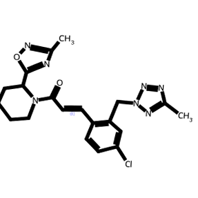 Cc1noc(C2CCCCN2C(=O)/C=C/c2ccc(Cl)cc2Cn2nnc(C)n2)n1